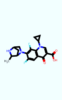 CC1NC2CC1N(c1c(F)cc3c(=O)c(C(=O)O)cn(C4CC4)c3c1F)C2